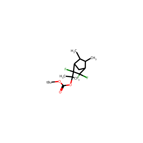 CC1C(C)C2CC1C(F)(F)C2(F)C(C)(OC(=O)OC(C)(C)C)C(F)(F)F